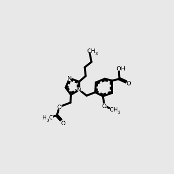 CCCCc1ncc(COC(C)=O)n1Cc1ccc(C(=O)O)cc1OC